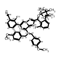 C=Cc1cccc(F)c1C(O[Si](C)(C)C(C)(C)C)c1nc2c(N(Cc3ccc(OC)cc3)Cc3ccc(OC)cc3)nc(-c3cccc(C#N)c3F)cn2n1